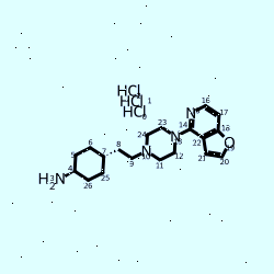 Cl.Cl.Cl.N[C@H]1CC[C@H](CCN2CCN(c3nccc4occc34)CC2)CC1